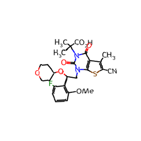 COc1cccc(F)c1C(Cn1c(=O)n(C(C)(C)C(=O)O)c(=O)c2c(C)c(C#N)sc21)OC1CCOCC1